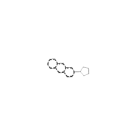 c1ccc2cc3cc(C4CCCC4)ccc3cc2c1